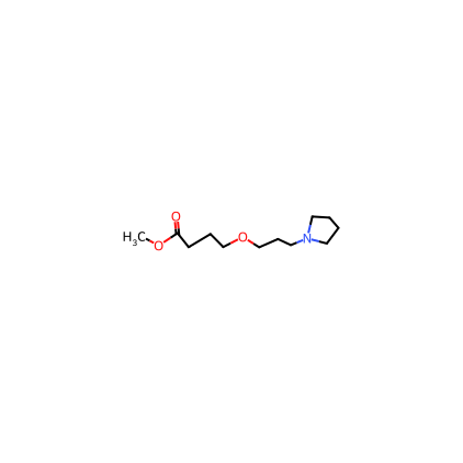 COC(=O)CCCOCCCN1CCCC1